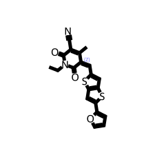 CCN1C(=O)C(C#N)=C(C)/C(=C/c2cc3sc(-c4ccco4)cc3s2)C1=O